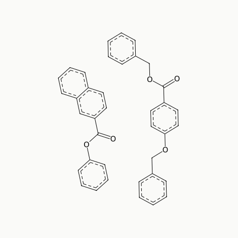 O=C(OCc1ccccc1)c1ccc(OCc2ccccc2)cc1.O=C(Oc1ccccc1)c1ccc2ccccc2c1